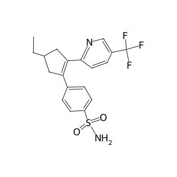 CCC1CC(c2ccc(S(N)(=O)=O)cc2)=C(c2ccc(C(F)(F)F)cn2)C1